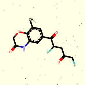 Cc1cc(C(=O)C(F)CC(=O)CF)cc2c1OCC(=O)N2